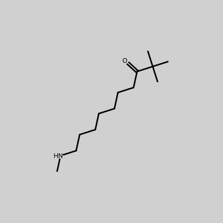 CNCCCCCCCC(=O)C(C)(C)C